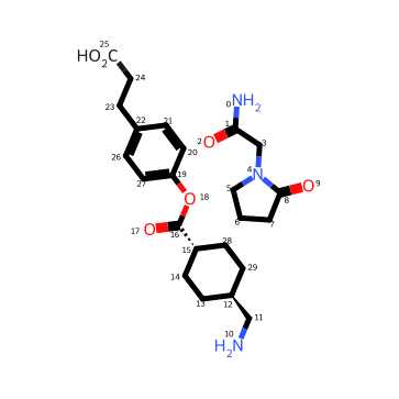 NC(=O)CN1CCCC1=O.NC[C@H]1CC[C@H](C(=O)Oc2ccc(CCC(=O)O)cc2)CC1